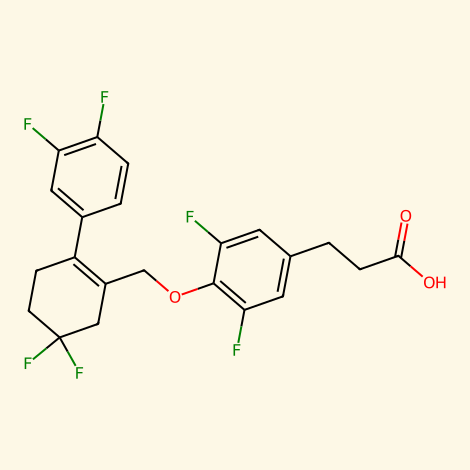 O=C(O)CCc1cc(F)c(OCC2=C(c3ccc(F)c(F)c3)CCC(F)(F)C2)c(F)c1